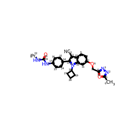 Cc1nnc(COc2ccc3c(C#N)c(-c4ccc(NC(=O)NC(C)C)cc4)n(C4CCC4)c3c2)o1